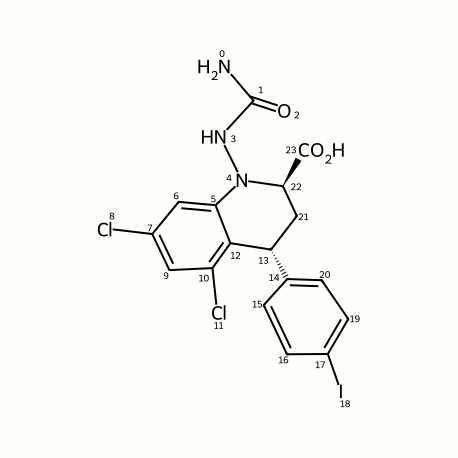 NC(=O)NN1c2cc(Cl)cc(Cl)c2[C@@H](c2ccc(I)cc2)C[C@@H]1C(=O)O